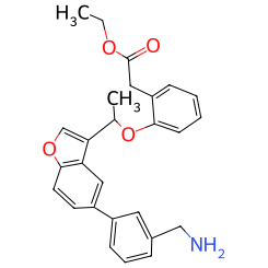 CCOC(=O)Cc1ccccc1OC(C)c1coc2ccc(-c3cccc(CN)c3)cc12